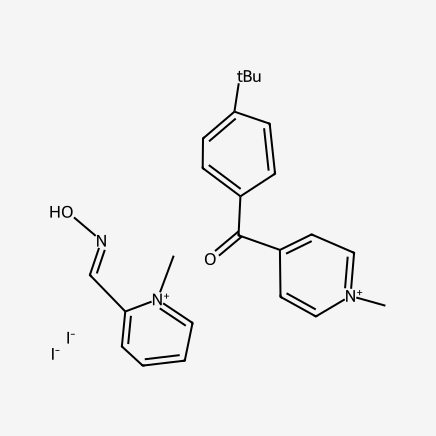 C[n+]1ccc(C(=O)c2ccc(C(C)(C)C)cc2)cc1.C[n+]1ccccc1C=NO.[I-].[I-]